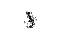 Cc1cc(-c2cc(C)c(OCc3nnc[nH]3)c(F)c2)c2c(c1)n(CC(=O)Nc1cnn(C)c1)c(=O)n2C